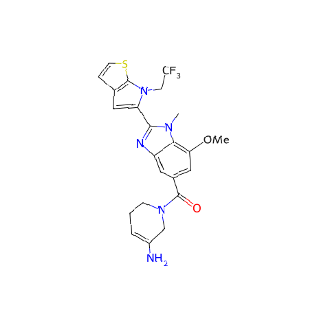 COc1cc(C(=O)N2CCC=C(N)C2)cc2nc(-c3cc4ccsc4n3CC(F)(F)F)n(C)c12